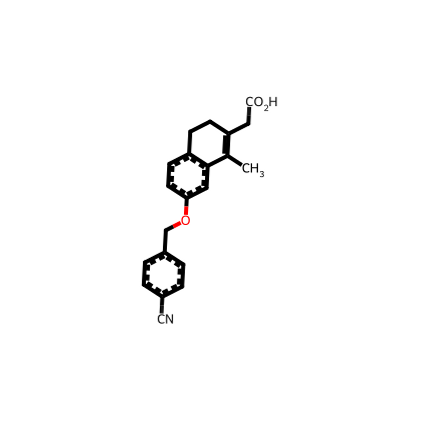 CC1=C(CC(=O)O)CCc2ccc(OCc3ccc(C#N)cc3)cc21